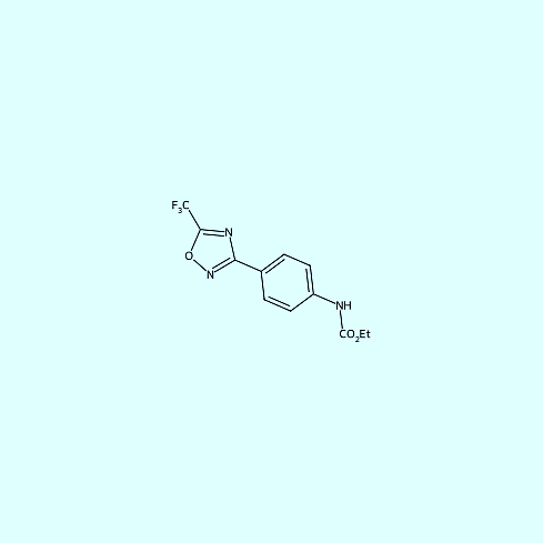 CCOC(=O)Nc1ccc(-c2noc(C(F)(F)F)n2)cc1